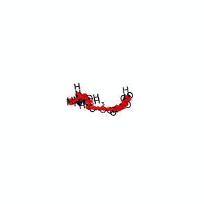 C[C@@H](NC(O)c1cccc(NC2(C(=N)NC(=N)c3ccncc3)CCNCC2)c1)c1cccc(OCCCCCOCCCOCC(=O)N2CCN(c3ccc4c(c3)CN(C3CCC(=O)NC3=O)C4=O)CC2)c1